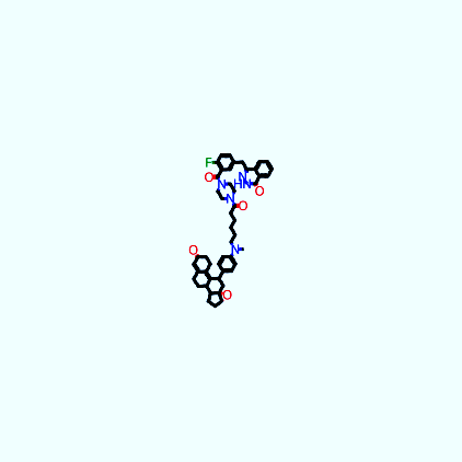 CN(CCCCCC(=O)N1CCN(C(=O)c2cc(Cc3n[nH]c(=O)c4ccccc34)ccc2F)CC1)c1ccc(C2CC34OC3CCC4C3CCC4=CC(=O)CCC4=C23)cc1